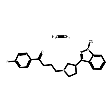 C=C.N#Cn1nc(C2CCN(CCCC(=O)c3ccc(F)cc3)C2)c2ccccc21